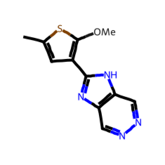 COc1sc(C)cc1-c1nc2cnncc2[nH]1